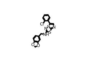 Clc1ccccc1-c1cnc2sc(NCc3ccc4c(c3)OCO4)nn12